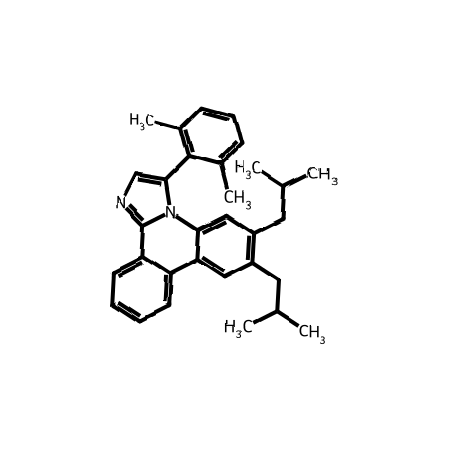 Cc1cccc(C)c1-c1cnc2c3ccccc3c3cc(CC(C)C)c(CC(C)C)cc3n12